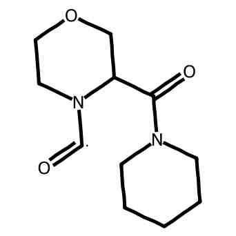 O=[C]N1CCOCC1C(=O)N1CCCCC1